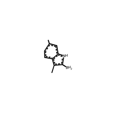 Bc1[nH]c2cc(C)ccc2c1C